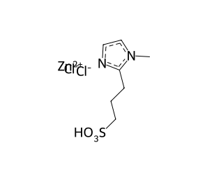 Cn1ccnc1CCCS(=O)(=O)O.[Cl-].[Cl-].[Zn+2]